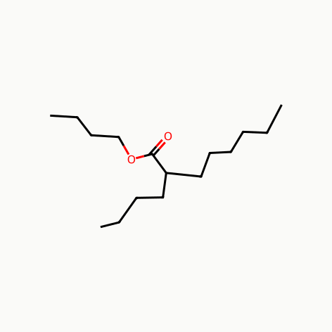 CCCCCCC(CCCC)C(=O)OCCCC